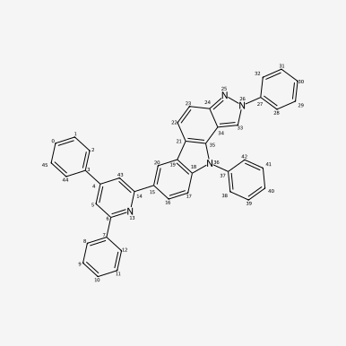 c1ccc(-c2cc(-c3ccccc3)nc(-c3ccc4c(c3)c3ccc5nn(-c6ccccc6)cc5c3n4-c3ccccc3)c2)cc1